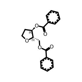 O=C(OC[C@@H]1OCC[C@H]1OC(=O)c1ccccc1)c1ccccc1